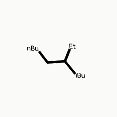 [CH2]CC(C)C(CC)CCCCC